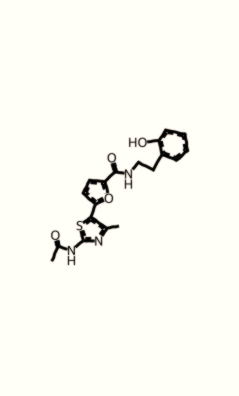 CC(=O)Nc1nc(C)c(-c2ccc(C(=O)NCCc3ccccc3O)o2)s1